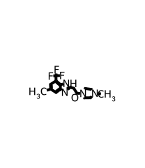 Cc1cc(C(F)(F)F)c2[nH]c(CC(=O)N3CCN(C)CC3)nc2c1